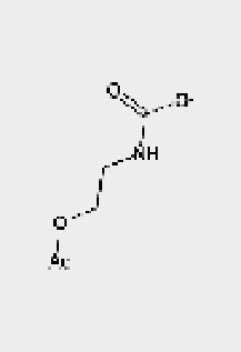 CC(=O)OCCNC([O])=O